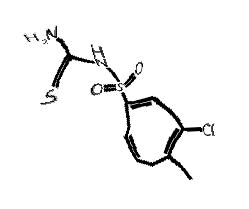 Cc1ccc(S(=O)(=O)NC(N)=S)cc1Cl